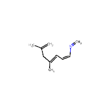 C=N/C=C\C=C(/C)CC(=C)C